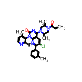 C=CC(=O)N1CC(C)N(c2nc(=O)n(-c3c(C)ccnc3C(C)C)c3nc(-c4cccc(C)c4)c(Cl)cc23)CC1C